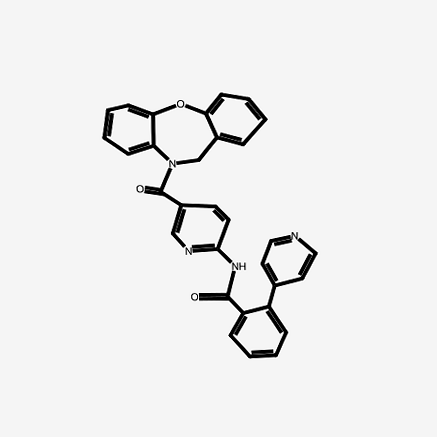 O=C(Nc1ccc(C(=O)N2Cc3ccccc3Oc3ccccc32)cn1)c1ccccc1-c1ccncc1